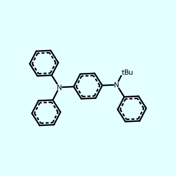 CC(C)(C)N(c1ccccc1)c1ccc(N(c2ccccc2)c2ccccc2)cc1